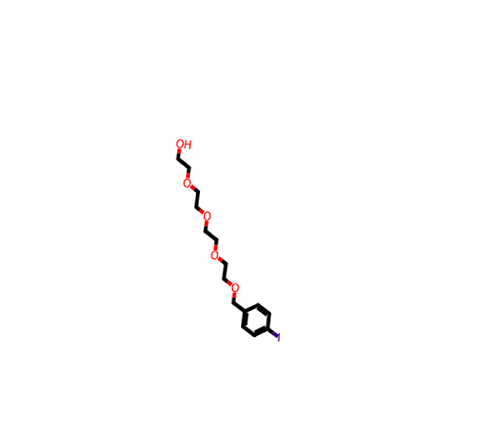 OCCOCCOCCOCCOCc1ccc(I)cc1